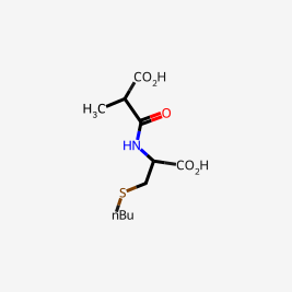 CCCCSCC(NC(=O)C(C)C(=O)O)C(=O)O